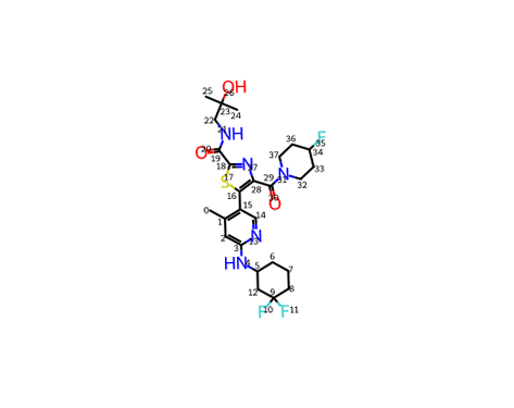 Cc1cc(NC2CCCC(F)(F)C2)ncc1-c1sc(C(=O)NCC(C)(C)O)nc1C(=O)N1CCC(F)CC1